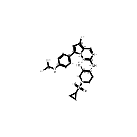 O=S(=O)(C1CC1)N1CC[C@@H](Nc2ncc3c(F)cc(-c4ccc(OC(F)F)cc4)n3n2)[C@H](O)C1